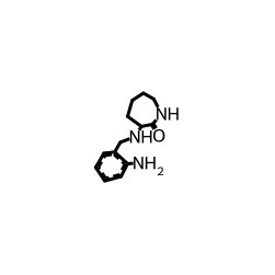 Nc1ccccc1CNC1CCCCNC1=O